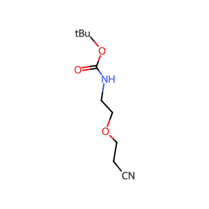 CC(C)(C)OC(=O)NCCOCCC#N